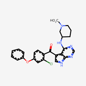 O=C(c1ccc(Oc2ccccc2)cc1Cl)c1c[nH]c2ncnc(NC3CCCN(C(=O)O)C3)c12